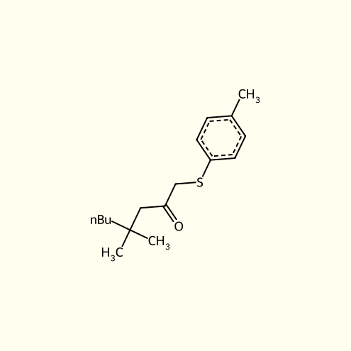 CCCCC(C)(C)CC(=O)CSc1ccc(C)cc1